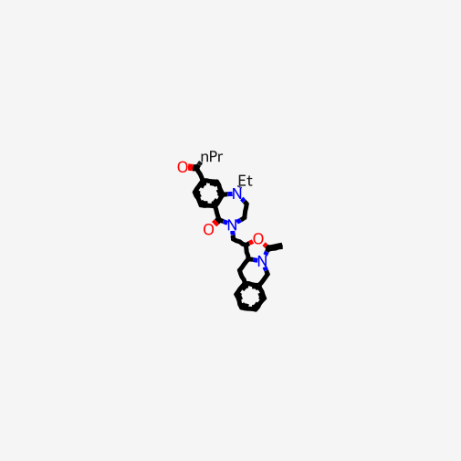 C=C1OC(CN2CCN(CC)c3cc(C(=O)CCC)ccc3C2=O)C2Cc3ccccc3CN12